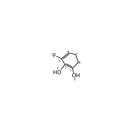 OC1=C(O)C(F)=CC[CH]1